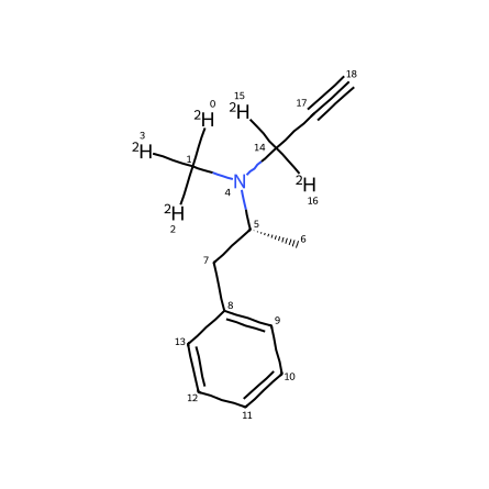 [2H]C([2H])([2H])N([C@H](C)Cc1ccccc1)C([2H])([2H])C#C